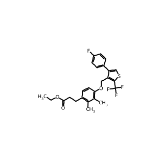 CCOC(=O)CCc1ccc(OCc2c(-c3ccc(F)cc3)csc2C(F)(F)F)c(C)c1C